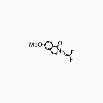 COc1ccc2c(=O)n(CC=C(F)F)ccc2c1